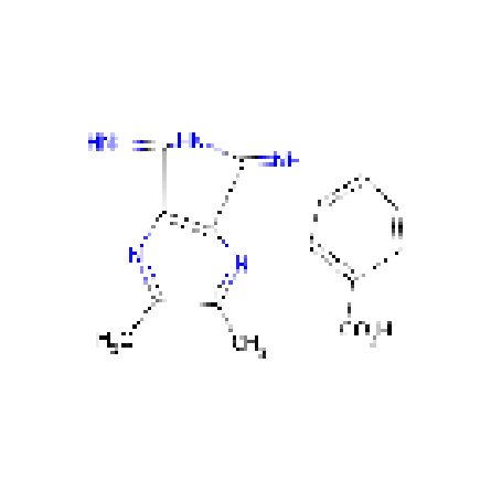 Cc1nc2c(nc1C)C(=N)NC2=N.O=C(O)c1ccccc1